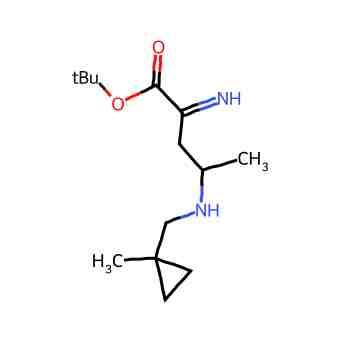 CC(CC(=N)C(=O)OC(C)(C)C)NCC1(C)CC1